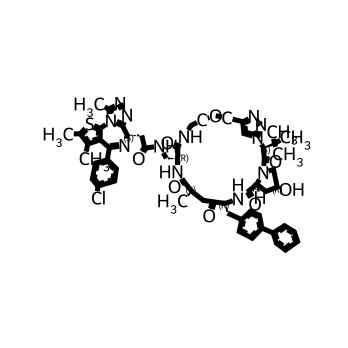 Cc1sc2c(c1C)C(c1ccc(Cl)cc1)=N[C@@H](CC(=O)NC[C@H]1NC(=O)[C@@H](C)CC(=O)[C@@H](Cc3ccc(-c4ccccc4)cc3)NC(=O)[C@@H]3C[C@@H](O)CN3C(=O)[C@H](C(C)(C)C)n3cc(nn3)COCCNC1=O)c1nnc(C)n1-2